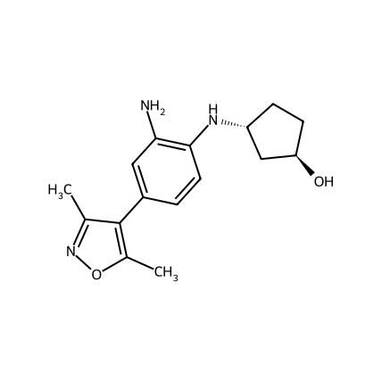 Cc1noc(C)c1-c1ccc(N[C@@H]2CC[C@@H](O)C2)c(N)c1